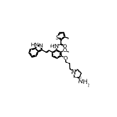 COc1c(OCCCN2CC[C@@H](N)C2)ccc(C=Cc2n[nH]c3ccccc23)c1NC(=O)c1sccc1C